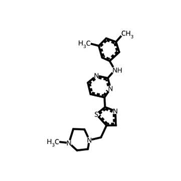 Cc1cc(C)cc(Nc2nccc(-c3ncc(CN4CCN(C)CC4)s3)n2)c1